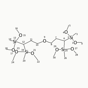 CO[Si](C)(OC)C(CCOCCC([Si](C)(OC)OC)[Si](C)(OC)OC)[Si](C)(OC)OC